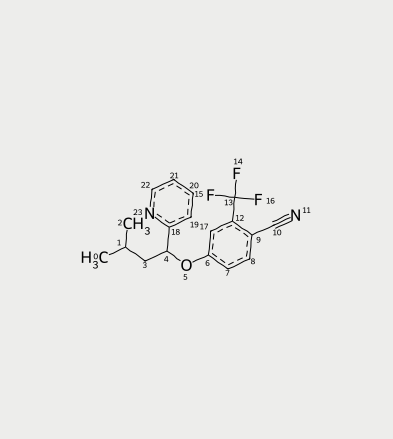 CC(C)CC(Oc1ccc(C#N)c(C(F)(F)F)c1)c1ccccn1